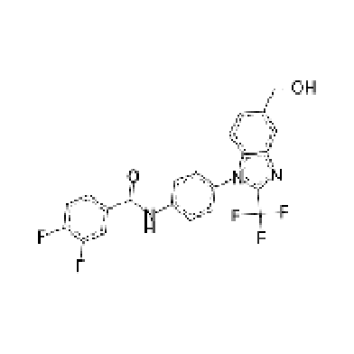 O=C(Nc1ccc(-n2c(C(F)(F)F)nc3cc(CO)ccc32)cc1)c1ccc(F)c(F)c1